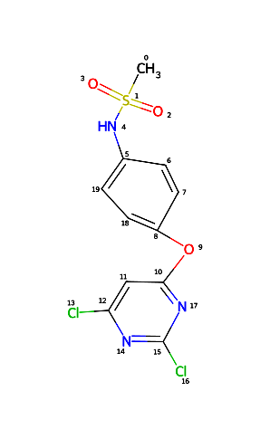 CS(=O)(=O)Nc1ccc(Oc2cc(Cl)nc(Cl)n2)cc1